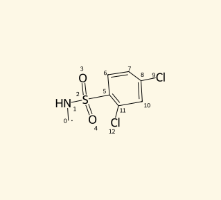 [CH2]NS(=O)(=O)c1ccc(Cl)cc1Cl